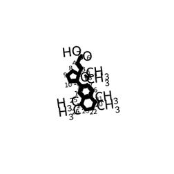 COC1(/C=C/C(=O)O)CCC=C1c1cc2c(cc1C)C(C)(C)CCC2(C)C